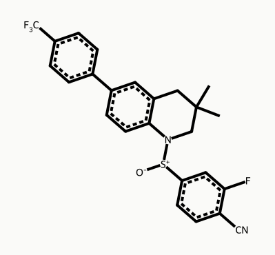 CC1(C)Cc2cc(-c3ccc(C(F)(F)F)cc3)ccc2N([S+]([O-])c2ccc(C#N)c(F)c2)C1